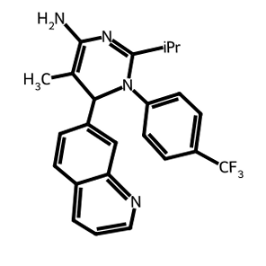 CC1=C(N)N=C(C(C)C)N(c2ccc(C(F)(F)F)cc2)C1c1ccc2cccnc2c1